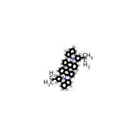 CC(C)c1ccc(N(c2cccc3ccccc23)c2c3ccccc3c(-c3c4ccccc4c(N(c4ccc(C(C)C)cc4)c4cccc5ccccc45)c4ccccc34)c3ccccc23)cc1